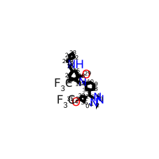 Cn1cnnc1C(c1cccc(N2Cc3c(cc(CNC4(C)CCC4)cc3C(F)(F)F)C2=O)c1)[C@H]1C[C@H](OC(F)(F)F)C1